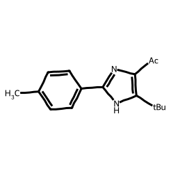 CC(=O)c1nc(-c2ccc(C)cc2)[nH]c1C(C)(C)C